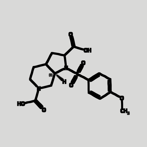 COc1ccc(S(=O)(=O)N2C(C(=O)O)CC3CCN(C(=O)O)C[C@@H]32)cc1